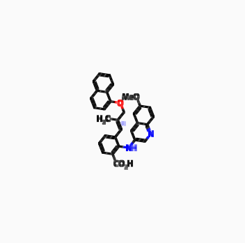 COc1ccc2ncc(Nc3c(/C=C(\C)COc4cccc5ccccc45)cccc3C(=O)O)cc2c1